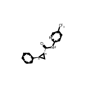 O=C(Nc1ccc(C(F)(F)F)cn1)[C@@H]1C[C@H]1c1ccccc1